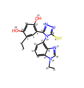 CCc1cc(-c2nnc(S)n2-c2cccc3c2ncn3CC)c(O)cc1O